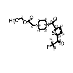 CCOC(=O)CN1CCN(C(=O)c2ccc(C(=O)C(F)(F)F)s2)CC1